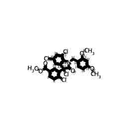 COC(=O)c1ccc(Cl)c(C2(Cl)C(=O)N(Cc3ccc(OC)cc3OC)c3c(Cl)cc(Cl)cc32)c1